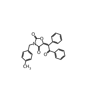 Cc1ccc(CN2C(=O)O/C(=C(/C(=O)c3ccccc3)c3ccccc3)C2=O)cc1